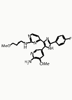 COCCCNc1nccc(-c2nc(-c3ccc(F)cc3)[nH]c2-c2cnc(N)c(OC)c2)n1